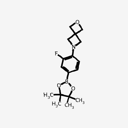 CC1(C)OB(c2ccc(N3CC4(COC4)C3)c(F)c2)OC1(C)C